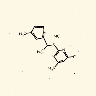 Cc1ccnc(C(C)Sc2nc(N)cc(Cl)n2)c1.Cl